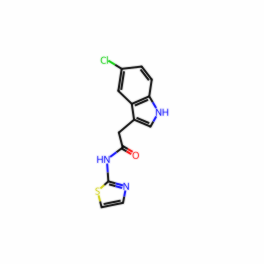 O=C(Cc1c[nH]c2ccc(Cl)cc12)Nc1nccs1